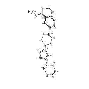 COc1cccc2ccc(N3CCC(c4nc(-c5ncccn5)no4)CC3)nc12